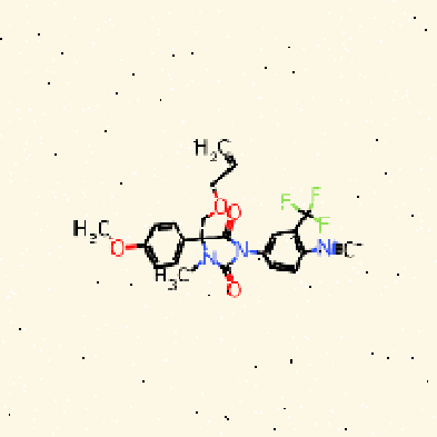 [C-]#[N+]c1ccc(N2C(=O)N(C)C(COCC=C)(c3ccc(OC)cc3)C2=O)cc1C(F)(F)F